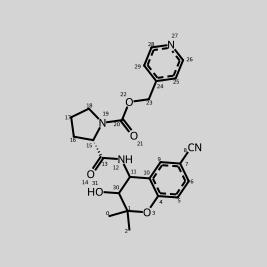 CC1(C)Oc2ccc(C#N)cc2C(NC(=O)[C@@H]2CCCN2C(=O)OCc2ccncc2)C1O